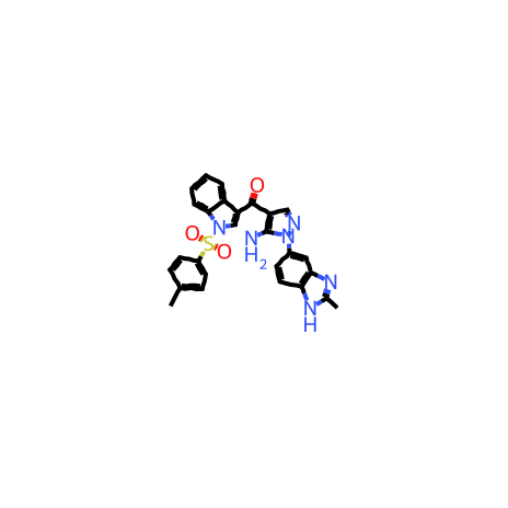 Cc1ccc(S(=O)(=O)n2cc(C(=O)c3cnn(-c4ccc5[nH]c(C)nc5c4)c3N)c3ccccc32)cc1